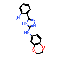 Nc1ccccc1-c1nnc(Nc2ccc3c(c2)OCCO3)[nH]1